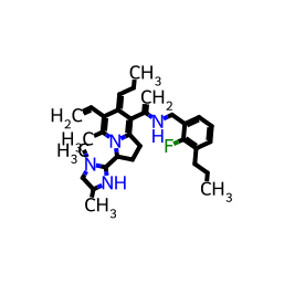 C=CC1=C(C)N2C(=C(C(=C)NCc3cccc(CCC)c3F)/C1=C\CC)CCC2C1NC(C)CN1C